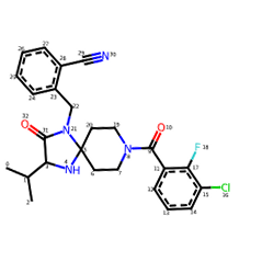 CC(C)C1NC2(CCN(C(=O)c3cccc(Cl)c3F)CC2)N(Cc2ccccc2C#N)C1=O